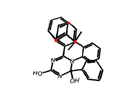 CC(C)(c1ccccc1)c1ccccc1N1C(c2ccccc2)=NC(O)=NC1(O)c1ccccc1